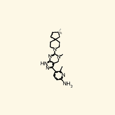 Cc1nc(N)ccc1-c1n[nH]c2c1CN(C)C(N1CCC3(CC[C@H](C)C3)CC1)=N2